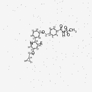 CS(=O)(=O)NC(=O)c1ccc(COc2cccc(-c3ncc(OCC4CC4)cc3F)c2)cc1